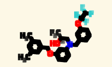 Cc1cc(C)cc(COc2cccc(N(Cc3cccc(OC(F)(F)C(F)F)c3)C[C@@H](O)C(F)(F)F)c2)c1